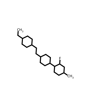 CCC1CCC(CCC2CCC(C3CCC(C)CC3F)CC2)CC1